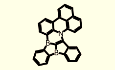 c1ccc2c(c1)B1C3=C(c4ccccc41)N1c4c(cccc4-c4cccc5cccc1c45)B32